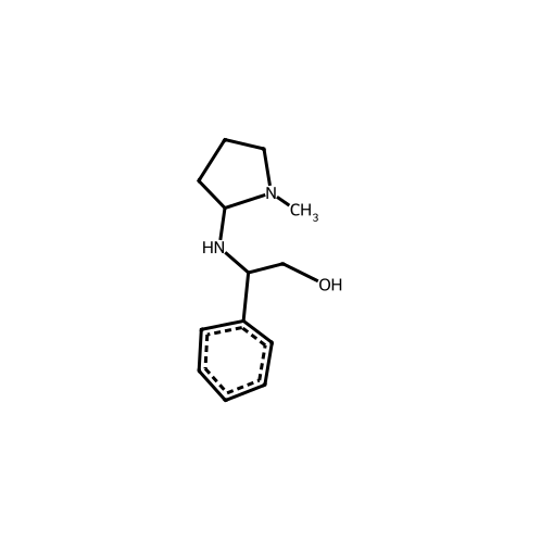 CN1CCCC1NC(CO)c1ccccc1